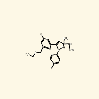 CC1(NC=O)C=C(c2cc(F)cc(COCC(F)(F)F)c2)N(c2ccc(F)cc2)N1